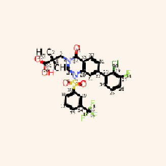 CC(C)(CN1CN(S(=O)(=O)c2cccc(C(F)(F)F)c2)c2cc(-c3cccc(F)c3Cl)ccc2C1=O)C(=O)O